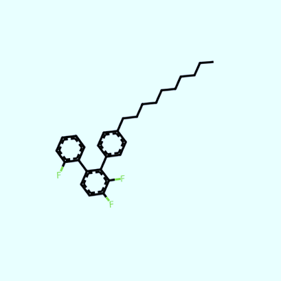 CCCCCCCCCCc1ccc(-c2c(-c3ccccc3F)ccc(F)c2F)cc1